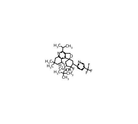 CC(C)c1nc2c(c3c1COC31CCC(F)(F)C(c3ccc(C(F)(F)F)cn3)C1)[C@@H](O[Si](C)(C)C(C)(C)C)CC(C)(C)C2